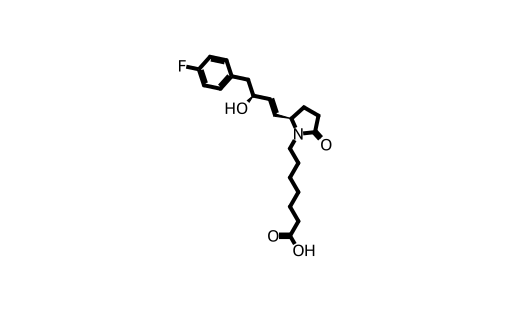 O=C(O)CCCCCCN1C(=O)CC[C@@H]1/C=C/[C@@H](O)Cc1ccc(F)cc1